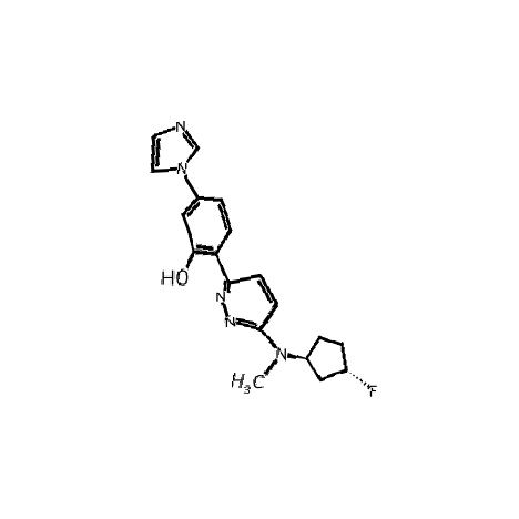 CN(c1ccc(-c2ccc(-n3ccnc3)cc2O)nn1)[C@H]1CC[C@H](F)C1